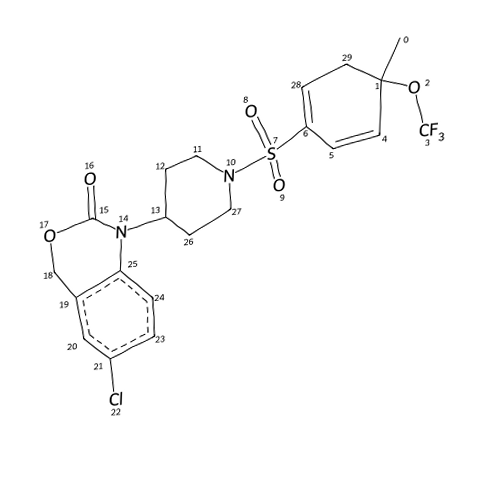 CC1(OC(F)(F)F)C=CC(S(=O)(=O)N2CCC(N3C(=O)OCc4cc(Cl)ccc43)CC2)=CC1